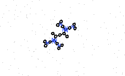 c1ccc(-c2cc(-c3ccc(-c4cc(-c5ccccc5)cc(-c5nc(-c6ccc(-n7c8ccccc8c8ccccc87)cc6)nc(-c6ccc(-n7c8ccccc8c8ccccc87)cc6)n5)c4)cc3)cc(-c3nc(-c4ccc(-n5c6ccccc6c6ccccc65)cc4)nc(-c4ccc(-n5c6ccccc6c6ccccc65)cc4)n3)c2)cc1